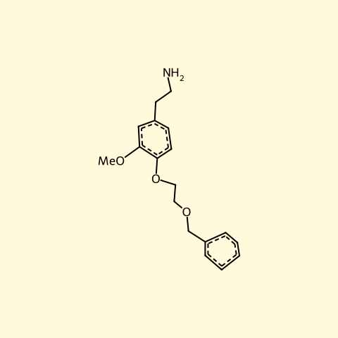 COc1cc(CCN)ccc1OCCOCc1ccccc1